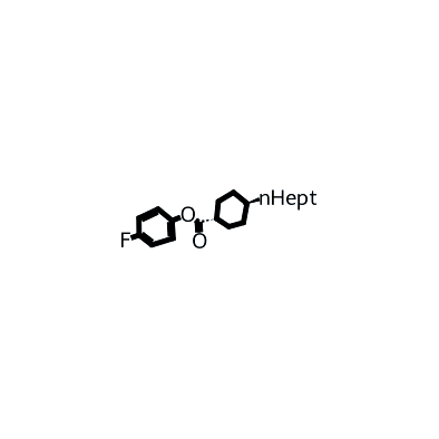 CCCCCCC[C@H]1CC[C@H](C(=O)Oc2ccc(F)cc2)CC1